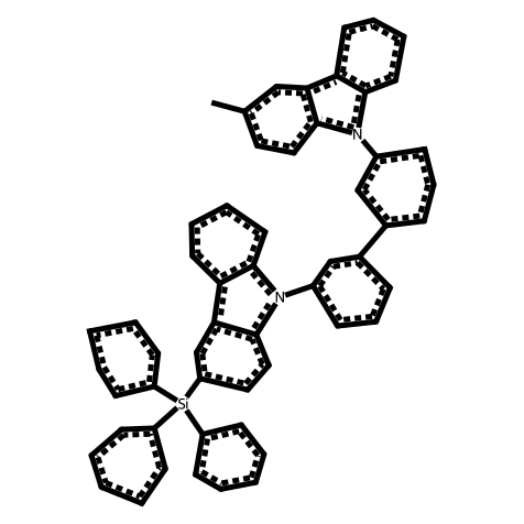 Cc1ccc2c(c1)c1ccccc1n2-c1cccc(-c2cccc(-n3c4ccccc4c4cc([Si](c5ccccc5)(c5ccccc5)c5ccccc5)ccc43)c2)c1